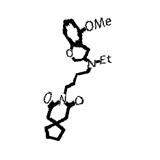 CCN(CCCCN1C(=O)CC2(CCCC2)CC1=O)C1COc2cccc(OC)c2C1